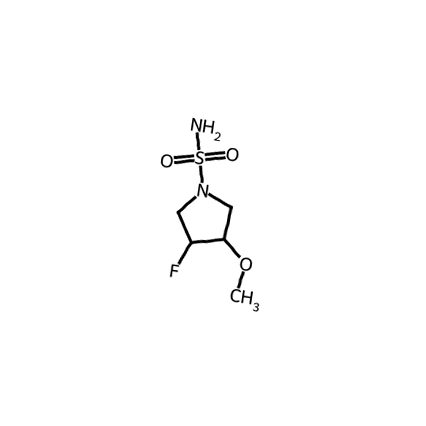 COC1CN(S(N)(=O)=O)CC1F